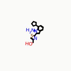 Nn1c(-c2nc(CO)cs2)cc2cccc(C3CCCC3)c21